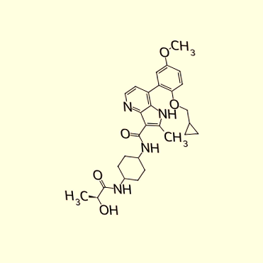 COc1ccc(OCC2CC2)c(-c2ccnc3c(C(=O)NC4CCC(NC(=O)[C@H](C)O)CC4)c(C)[nH]c23)c1